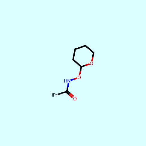 CC(C)C(=O)NOC1CCCCO1